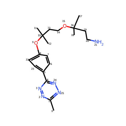 Cc1nnc(-c2ccc(OC(C)(C)CCOC(C)(C)CCN)cc2)nn1